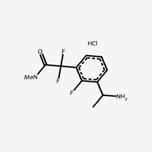 CNC(=O)C(F)(F)c1cccc(C(C)N)c1F.Cl